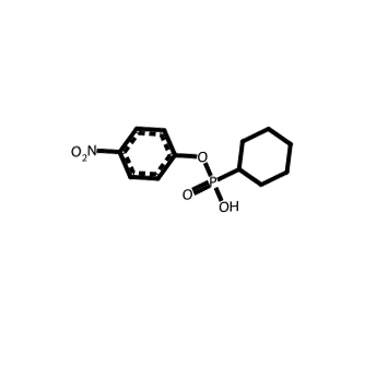 O=[N+]([O-])c1ccc(OP(=O)(O)C2CCCCC2)cc1